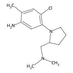 Cc1cc(Cl)c(N2CCCC2CN(C)C)cc1N